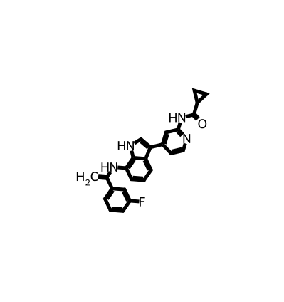 C=C(Nc1cccc2c(-c3ccnc(NC(=O)C4CC4)c3)c[nH]c12)c1cccc(F)c1